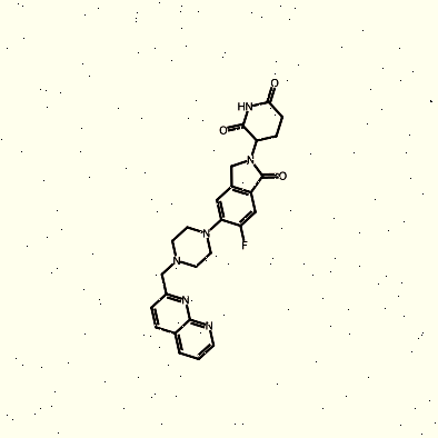 O=C1CCC(N2Cc3cc(N4CCN(Cc5ccc6cccnc6n5)CC4)c(F)cc3C2=O)C(=O)N1